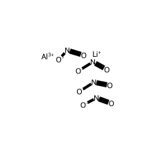 O=N[O-].O=N[O-].O=N[O-].O=N[O-].[Al+3].[Li+]